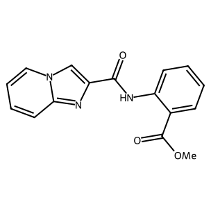 COC(=O)c1ccccc1NC(=O)c1cn2ccccc2n1